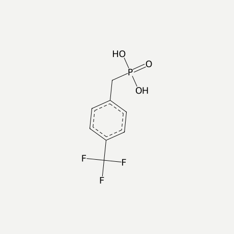 O=P(O)(O)Cc1ccc(C(F)(F)F)cc1